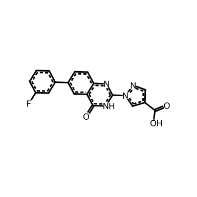 O=C(O)c1cnn(-c2nc3ccc(-c4cccc(F)c4)cc3c(=O)[nH]2)c1